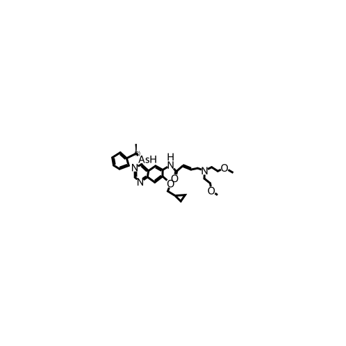 COCCN(CC=CC(=O)Nc1cc2c([AsH][C@H](C)c3ccccc3)ncnc2cc1OCC1CC1)CCOC